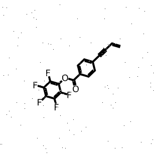 C=CC#Cc1ccc(C(=O)Oc2c(F)c(F)c(F)c(F)c2F)cc1